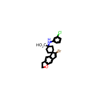 O=C(O)C1(Nc2cccc(Cl)c2)CCC2(CC1)C(Br)=Cc1cc3c(cc12)CCO3